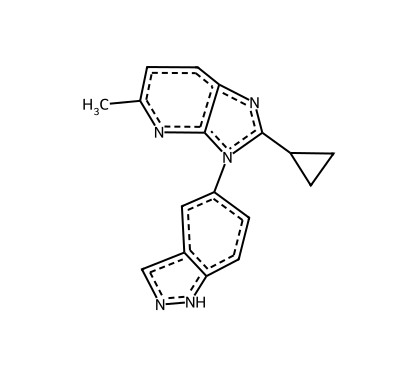 Cc1ccc2nc(C3CC3)n(-c3ccc4[nH]ncc4c3)c2n1